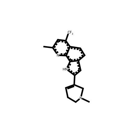 Cc1cc(C(F)(F)F)c2ccc3cc(C4=CCCN(C)C4)[nH]c3c2n1